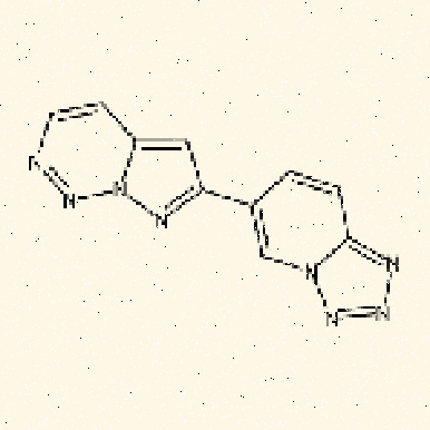 c1cc2cc(-c3ccc4nnnn4c3)nn2nn1